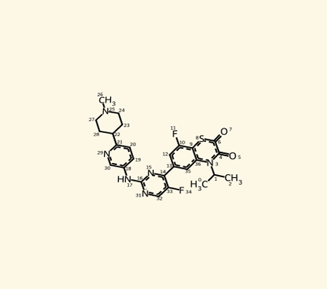 CC(C)n1c(=O)c(=O)sc2c(F)cc(-c3nc(Nc4ccc(C5CCN(C)CC5)nc4)ncc3F)cc21